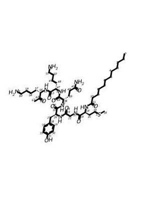 CCCCCCCCCCCC(=O)N[C@@H](CCSC)C(=O)NCC(=O)N[C@@H](Cc1ccc(O)cc1)C(=O)N[C@@H](CCC(N)=O)C(=O)N[C@@H](CCCCN)C(=O)N[C@@H](CCCCN)C(C)=O